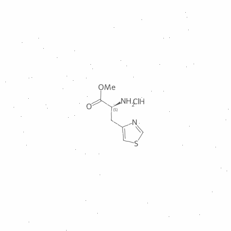 COC(=O)[C@@H](N)Cc1cscn1.Cl